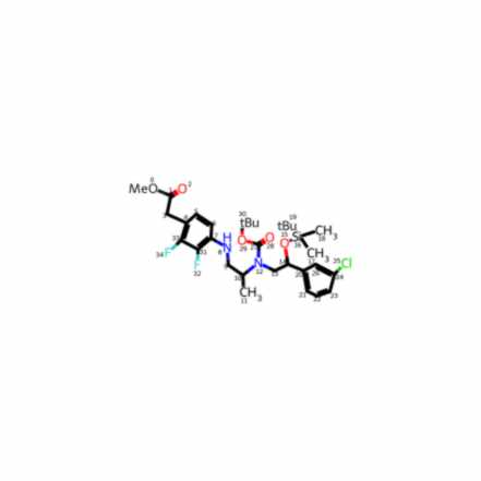 COC(=O)Cc1ccc(NCC(C)N(CC(O[Si](C)(C)C(C)(C)C)c2cccc(Cl)c2)C(=O)OC(C)(C)C)c(F)c1F